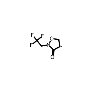 O=C1[CH]CON1CC(F)(F)F